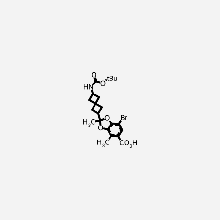 Cc1c(C(=O)O)cc(Br)c2c1OC(C)(C1CC3(CC(NC(=O)OC(C)(C)C)C3)C1)O2